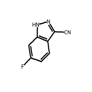 N#Cc1n[nH]c2cc(F)ccc12